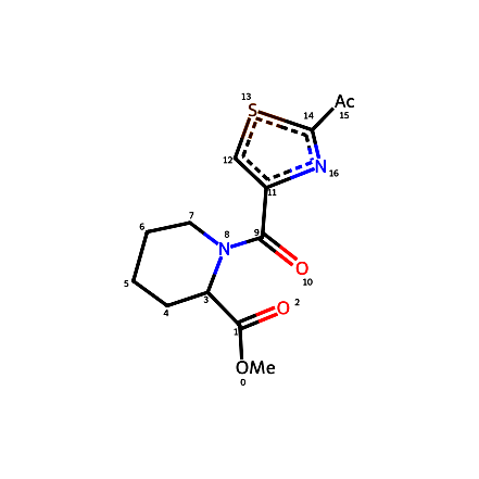 COC(=O)C1CCCCN1C(=O)c1csc(C(C)=O)n1